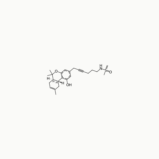 C=S(C)(=O)NCCCC#CCc1cc(O)c2c(c1)OC(C)(C)[C@@H]1CC=C(C)C[C@@H]21